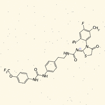 Cc1cc(N2C(=O)CS/C2=N\C(=O)NCCc2ccc(NC(=O)Nc3ccc(OC(F)(F)F)cc3)cc2)c(C(C)C)cc1F